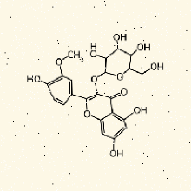 COc1cc(-c2oc3cc(O)cc(O)c3c(=O)c2OC2OC(CO)C(O)C(O)C2O)ccc1O